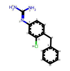 NC(N)=Nc1ccc(Cc2ccccc2)c(Cl)c1